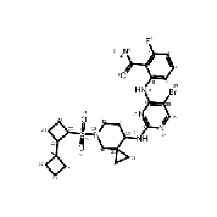 NC(=O)c1c(F)cccc1Nc1nc(NC2CCN(S(=O)(=O)C3CCC3C3CCC3)CC23CC3)ncc1Br